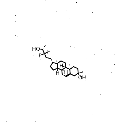 C[C@@H](O)C(F)(F)CC[C@H]1CC[C@H]2[C@@H]3CC=C4C[C@@](C)(O)CC[C@]4(C)[C@H]3CC[C@]12C